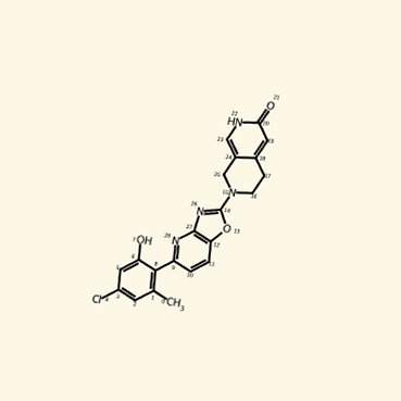 Cc1cc(Cl)cc(O)c1-c1ccc2oc(N3CCc4cc(=O)[nH]cc4C3)nc2n1